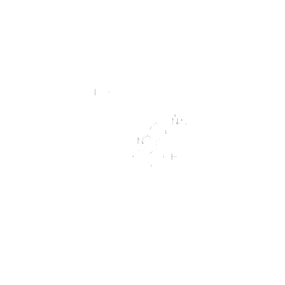 CCCCOc1c(O)c2cc([N+](=O)[O-])ccc2n(CCCCCCO)c1=O